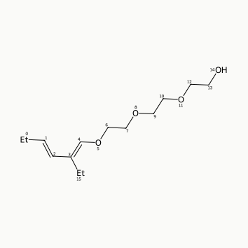 CCC=CC(=COCCOCCOCCO)CC